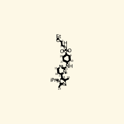 CCOCCNS(=O)(=O)c1ccc(Nc2nccc(-c3c(C)nc(C)n3C(C)C)n2)cc1